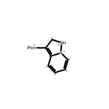 CCCC(C)C1=C2C=CC=CN2NC1